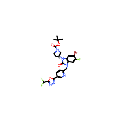 CC(C)(C)OC(=O)N1CC[C@H](n2c(=O)n(Cc3ccc(-c4nnc(C(F)F)o4)cn3)c3cc(F)c(Br)cc32)C1